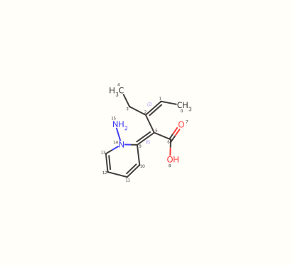 C/C=C(CC)\C(C(=O)O)=C1\C=CC=CN1N